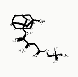 C=C(CC(=O)OCC(C)(F)F)C(=O)OC12CC3CC(CC(O)(C3)C1)C2